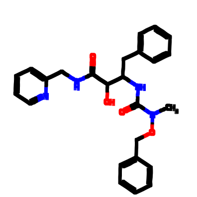 CN(OCc1ccccc1)C(=O)NC(Cc1ccccc1)C(O)C(=O)NCc1ccccn1